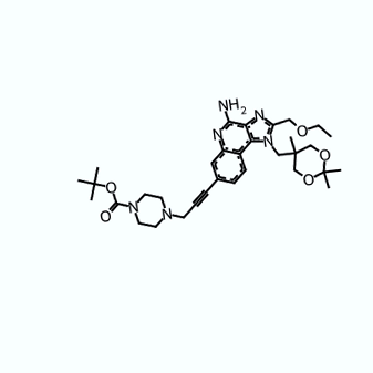 CCOCc1nc2c(N)nc3cc(C#CCN4CCN(C(=O)OC(C)(C)C)CC4)ccc3c2n1CC1(C)COC(C)(C)OC1